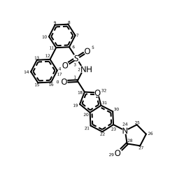 O=C(NS(=O)(=O)c1ccccc1-c1ccccc1)c1cc2ccc(N3CCCC3=O)cc2o1